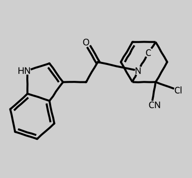 N#CC1(Cl)CC2C=CC1N(C(=O)Cc1c[nH]c3ccccc13)C2